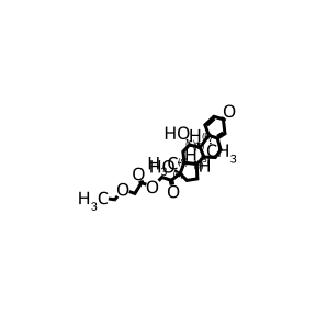 CCOCC(=O)OCC(=O)[C@@]1(O)CC[C@H]2[C@@H]3CCC4=CC(=O)C=C[C@]4(C)[C@H]3[C@@H](O)C[C@@]21C